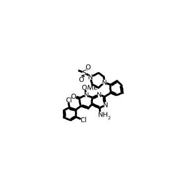 COn1c(=O)c(-c2c(Cl)cccc2Cl)cc2c(N)nc(-c3ccccc3N3CCN(S(C)(=O)=O)CC3)nc21